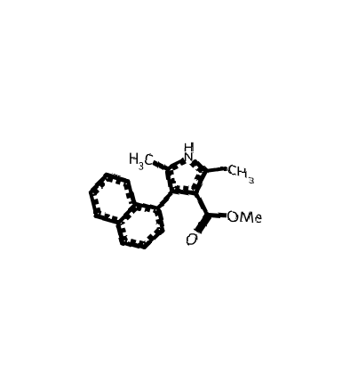 COC(=O)c1c(C)[nH]c(C)c1-c1cccc2ccccc12